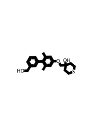 Cc1cc(OCC2(O)CCSCC2)cc(C)c1-c1cccc(CO)c1